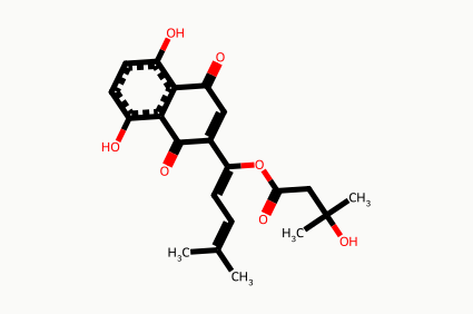 CC(C)=CC=C(OC(=O)CC(C)(C)O)C1=CC(=O)c2c(O)ccc(O)c2C1=O